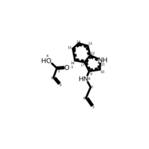 C=CC(=O)O.C=CCNc1c[nH]c2ccccc12